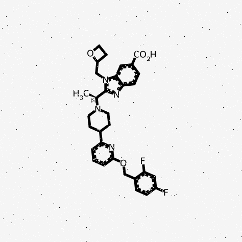 C[C@@H](c1nc2ccc(C(=O)O)cc2n1CC1CCO1)N1CCC(c2cccc(OCc3ccc(F)cc3F)n2)CC1